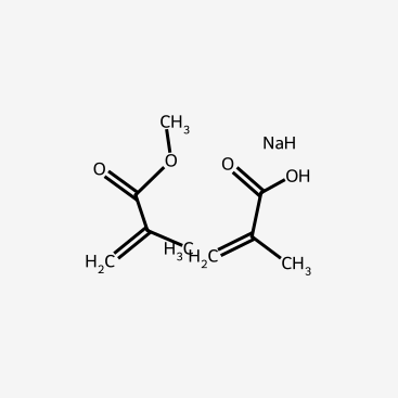 C=C(C)C(=O)O.C=C(C)C(=O)OC.[NaH]